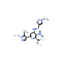 CC(=N)c1nc(-c2cnn(C)c2C)cc(NCc2cnn(C)c2)c1NC(C)C